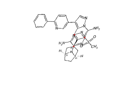 CS(=O)(=O)c1c([C@H]2C[C@H]3CC[C@@H](C2)N3c2ncncc2N)nc2c(-c3ccc(-c4ccccc4)nc3)cnn2c1N